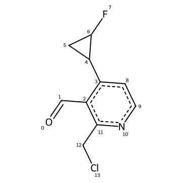 O=Cc1c(C2CC2F)ccnc1CCl